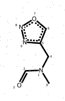 CN(C=O)Cc1conn1